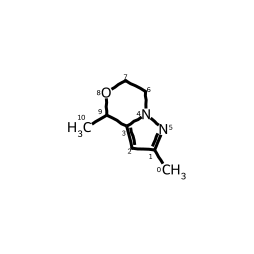 Cc1cc2n(n1)CCOC2C